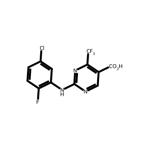 O=C(O)c1cnc(Nc2cc(Cl)ccc2F)nc1C(F)(F)F